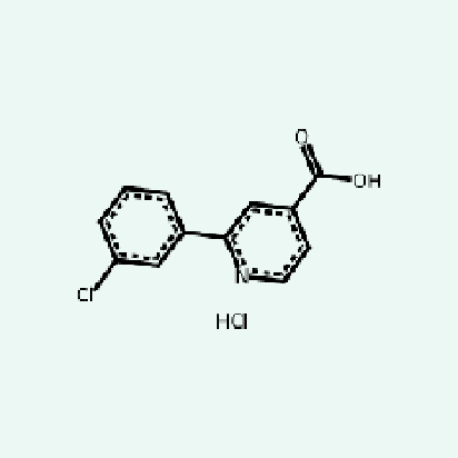 Cl.O=C(O)c1ccnc(-c2cccc(Cl)c2)c1